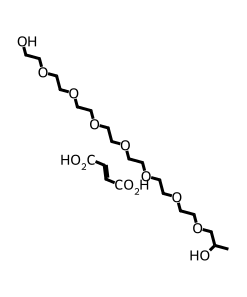 CC(O)COCCOCCOCCOCCOCCOCCOCCO.O=C(O)C=CC(=O)O